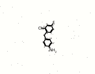 Nc1ccc(Cc2ccc(F)cc2Cl)cc1